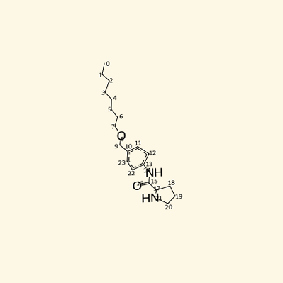 CCCCCCCCOCc1ccc(NC(=O)C2CCCN2)cc1